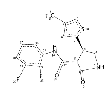 O=C1NC[C@H](c2cc(C(F)(F)F)cs2)[C@H]1C(=O)Nc1cccc(F)c1F